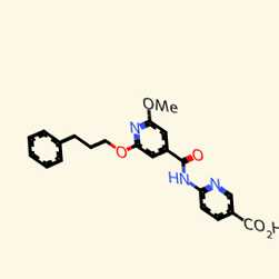 COc1cc(C(=O)Nc2ccc(C(=O)O)cn2)cc(OCCCc2ccccc2)n1